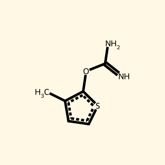 Cc1ccsc1OC(=N)N